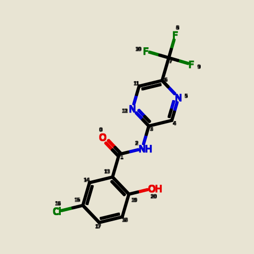 O=C(Nc1cnc(C(F)(F)F)cn1)c1cc(Cl)ccc1O